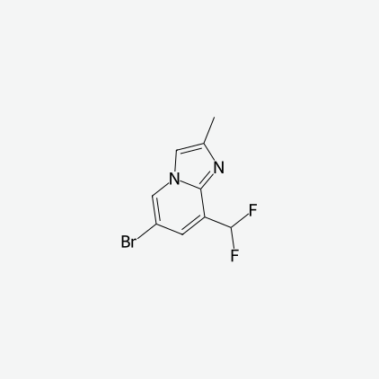 Cc1cn2cc(Br)cc(C(F)F)c2n1